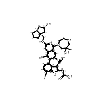 CC1(O)COCCN(c2nc(OC[C@@]34CCCN3C[C@H](F)C4)nc3c(F)c(-c4ccc(F)c5sc(NC(=O)O)c(C#N)c45)c(O)cc23)C1